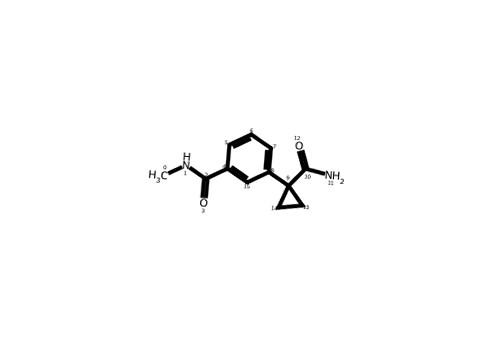 CNC(=O)c1cccc(C2(C(N)=O)CC2)c1